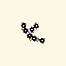 c1ccc(-c2ccc(N(c3ccc4oc5cc6nc(-c7ccccc7)sc6cc5c4c3)c3ccc4sc5ccccc5c4c3)cc2)cc1